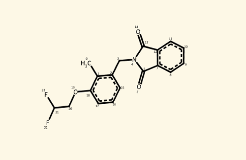 Cc1c(CN2C(=O)c3ccccc3C2=O)cccc1OCC(F)F